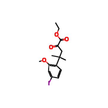 CCOC(=O)C(=O)CC(C)(C)c1ccc(I)cc1OC